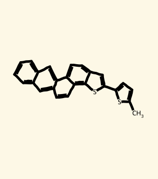 Cc1ccc(-c2cc3ccc4c5cc6ccccc6cc5ccc4c3s2)s1